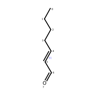 CCCC/C=C/[C]=O